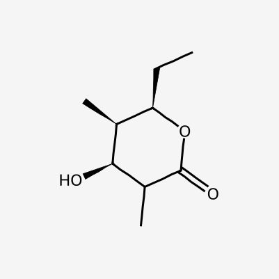 CC[C@H]1OC(=O)C(C)[C@@H](O)[C@H]1C